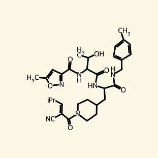 Cc1ccc(CNC(=O)C(CC2CCN(C(=O)C(C#N)=CC(C)C)CC2)NC(=O)C(NC(=O)c2cc(C)on2)C(C)O)cc1